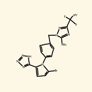 CCCCc1nc(C(F)(F)CCC)nn1Cc1ccc(-n2c(Br)ccc2-c2nnn[nH]2)cc1